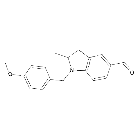 COc1ccc(CN2c3ccc(C=O)cc3CC2C)cc1